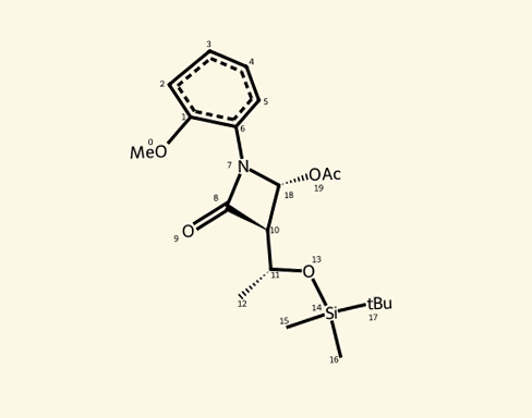 COc1ccccc1N1C(=O)[C@H]([C@@H](C)O[Si](C)(C)C(C)(C)C)[C@H]1OC(C)=O